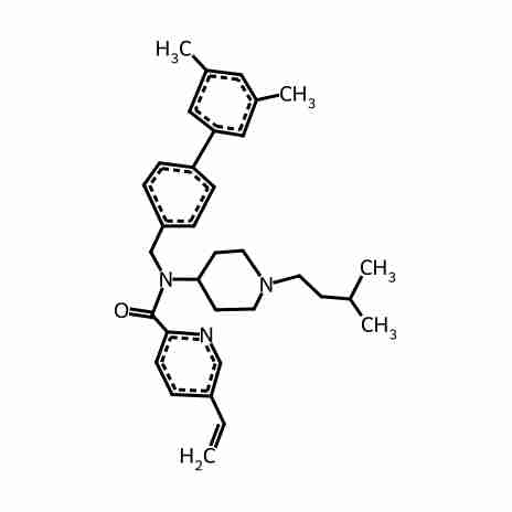 C=Cc1ccc(C(=O)N(Cc2ccc(-c3cc(C)cc(C)c3)cc2)C2CCN(CCC(C)C)CC2)nc1